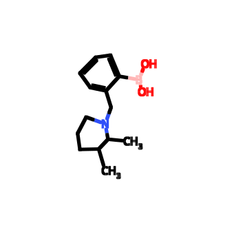 CC1CCCN(Cc2ccccc2B(O)O)C1C